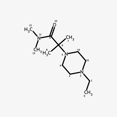 CCN1CCN(C(C)(C)C(=O)N(C)C)CC1